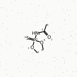 COP(=S)(NC(C)=O)OC